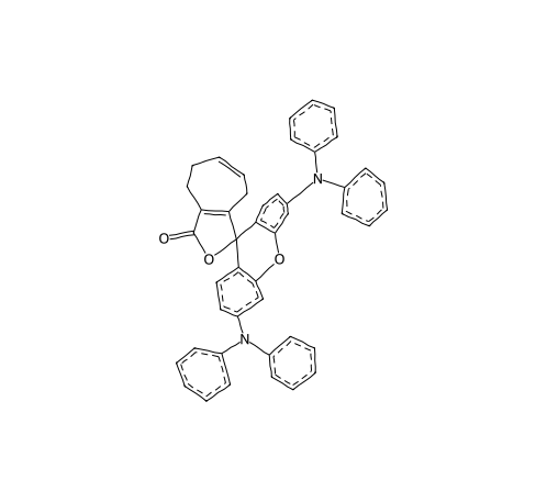 O=C1OC2(C3=C1CCC=CC3)c1ccc(N(c3ccccc3)c3ccccc3)cc1Oc1cc(N(c3ccccc3)c3ccccc3)ccc12